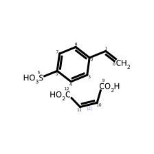 C=Cc1ccc(S(=O)(=O)O)cc1.O=C(O)/C=C\C(=O)O